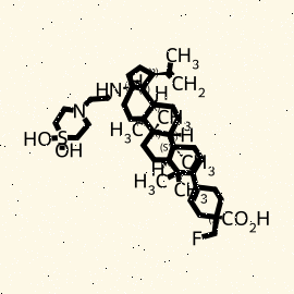 C=C(C)[C@@H]1CC[C@]2(NCCN3CCS(O)(O)CC3)CC[C@]3(C)[C@H](CC[C@@H]4[C@@]5(C)CC=C(C6=CC[C@](CF)(C(=O)O)CC6)C(C)(C)[C@@H]5CC[C@]43C)[C@@H]12